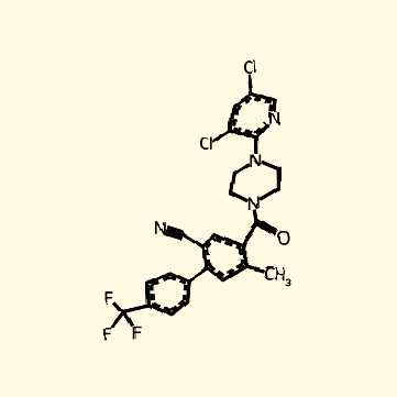 Cc1cc(-c2ccc(C(F)(F)F)cc2)c(C#N)cc1C(=O)N1CCN(c2ncc(Cl)cc2Cl)CC1